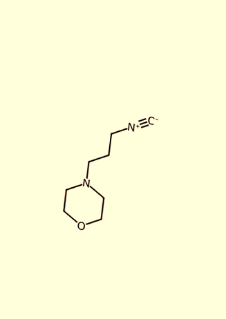 [C-]#[N+]CCCN1CCOCC1